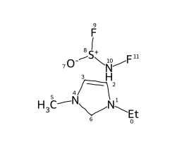 CCN1C=CN(C)C1.[O-][S+](F)NF